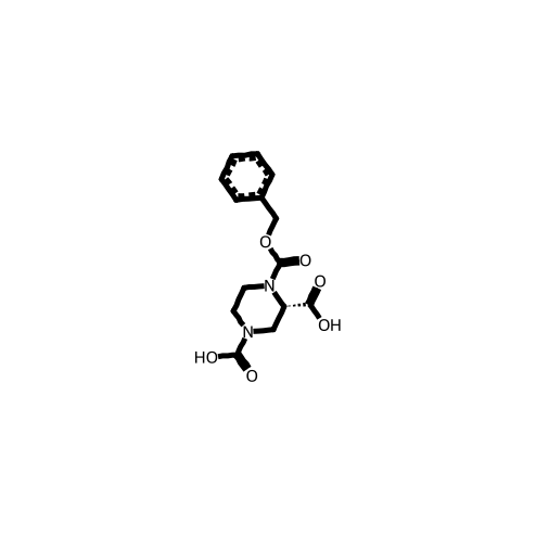 O=C(O)[C@@H]1CN(C(=O)O)CCN1C(=O)OCc1ccccc1